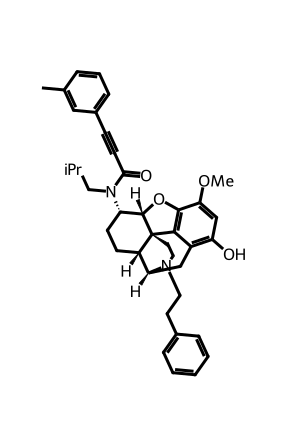 COc1cc(O)c2c3c1O[C@H]1[C@@H](N(CC(C)C)C(=O)C#Cc4cccc(C)c4)CC[C@H]4[C@@H](C2)N(CCc2ccccc2)CC[C@@]341